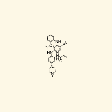 C=CC(=O)Nc1cc(N2CCN(C)CC2)ccc1Nc1ncc(C#N)c(Nc2ccccc2OC(C)C)n1